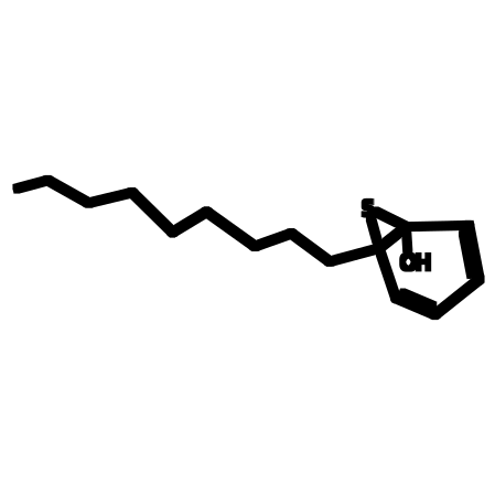 CCCCCCCCCC12C=CC=CC1(O)S2